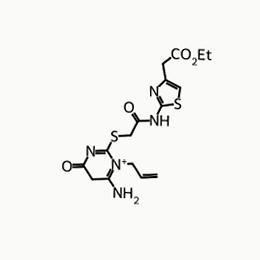 C=CC[N+]1=C(N)CC(=O)N=C1SCC(=O)Nc1nc(CC(=O)OCC)cs1